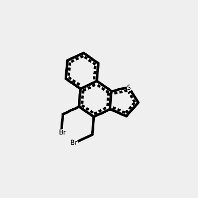 BrCc1c(CBr)c2ccsc2c2ccccc12